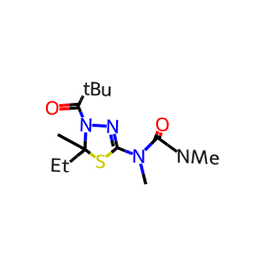 CCC1(C)SC(N(C)C(=O)NC)=NN1C(=O)C(C)(C)C